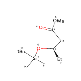 CC[C@H](CC(=O)OC)O[Si](C)(C)C(C)(C)C